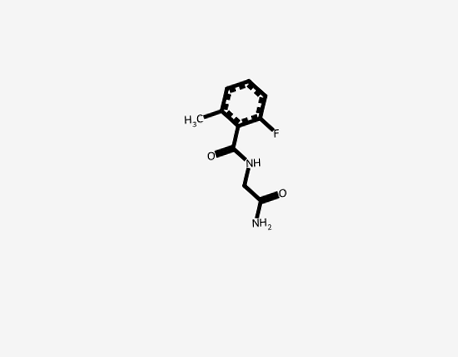 Cc1cccc(F)c1C(=O)NCC(N)=O